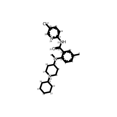 Cc1ccc(N(C)C2CCN(C3CCCCC3)CC2)c(C(=O)Nc2ccc(Cl)cn2)c1